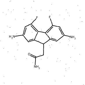 NC(=O)CC1c2cc(N)cc(F)c2-c2c(F)cc(N)cc21